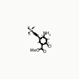 COC(=O)c1cc(C#C[Si](C)(C)C)c(N)cc1Cl